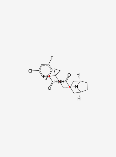 O=C(CN1[C@@H]2CC[C@H]1C[C@H](CNC(=O)c1cc(F)cc(Cl)c1)C2)NC1(C(F)(F)F)CC1